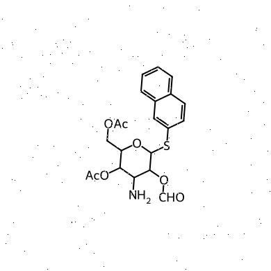 CC(=O)OCC1OC(Sc2ccc3ccccc3c2)C(OC=O)C(N)C1OC(C)=O